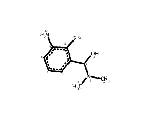 CN(C)C(O)c1cccc(N)c1F